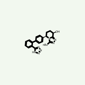 CCCCc1nnc2n1[C@@H](c1ccc(-c3ccccc3-c3nnn[nH]3)cc1)CC[C@H]2O